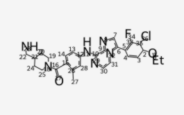 CCOC1C=CC(c2cnc3c(Nc4ccc(C(=O)N5CCC(CN)CC5)c(C)c4)nccn23)=C(F)C1Cl